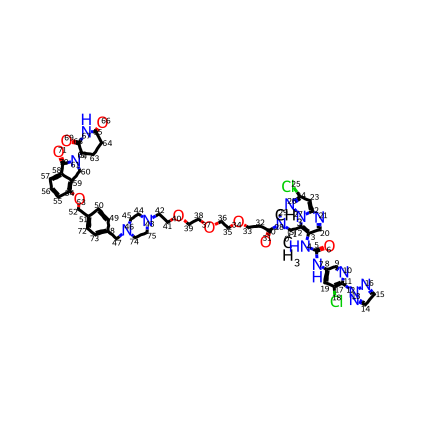 C[C@@H](c1c(NC(=O)Nc2cnc(-n3nccn3)c(Cl)c2)cnc2cc(Cl)nn12)N(C)C(=O)CCOCCOCCOCCN1CCN(Cc2ccc(COc3cccc4c3CN([C@H]3CCC(=O)NC3=O)C4=O)cc2)CC1